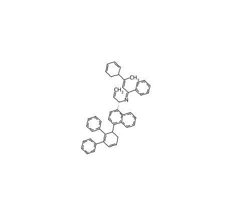 C=C[C@H](/N=C(\C=C(/C)C1C=CC=CC1)c1ccccc1)c1ccc(C2CC=CC(c3ccccc3)=C2c2ccccc2)c2ccccc12